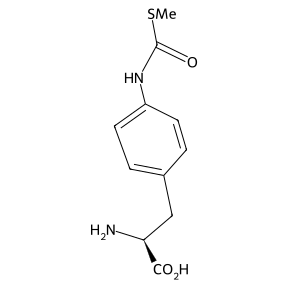 CSC(=O)Nc1ccc(C[C@H](N)C(=O)O)cc1